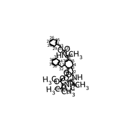 COC(=O)[C@@H](NC(=O)[C@@H](NC(=O)CC1CCC([C@H](C)NC(=O)OCc2ccccc2)=CC(Cc2ccccc2)C1=O)C(C)C)C(C)C